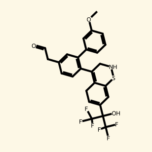 COc1cccc(-c2cc(CC=O)ccc2C2=C3CC=C(C(O)(C(F)(F)F)C(F)(F)F)C=C3SNC2)c1